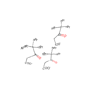 CCCC(CCC)(CCC)C(=O)CC(=O)[O-].CCCC(CCC)(CCC)C(=O)CC(=O)[O-].CCCC(CCC)(CCC)C(=O)CC(=O)[O-].[Al+3]